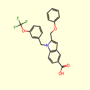 O=C(O)c1ccc2c(c1)cc(COc1ccccc1)n2Cc1cccc(OC(F)(F)F)c1